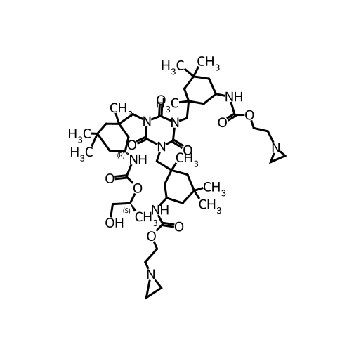 C[C@@H](CO)OC(=O)N[C@@H]1CC(C)(C)CC(C)(Cn2c(=O)n(CC3(C)CC(NC(=O)OCCN4CC4)CC(C)(C)C3)c(=O)n(CC3(C)CC(NC(=O)OCCN4CC4)CC(C)(C)C3)c2=O)C1